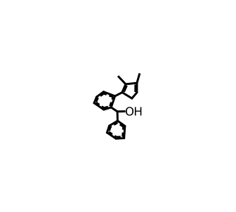 CC1=CCC(c2ccccc2C(O)c2ccccc2)=C1C